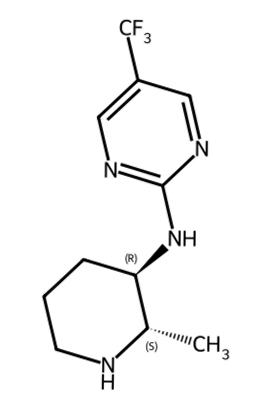 C[C@@H]1NCCC[C@H]1Nc1ncc(C(F)(F)F)cn1